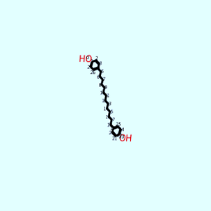 Oc1ccc(CCCCCCCCCCCCCCc2ccc(O)cc2)cc1